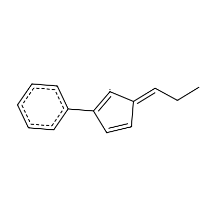 CCC=C1[C]=C(c2ccccc2)C=C1